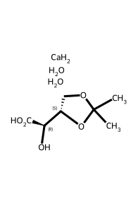 CC1(C)OC[C@@H]([C@@H](O)C(=O)O)O1.O.O.[CaH2]